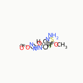 COC[C@]12C[C@H]1[C@@](C)(c1cc(NC(=O)c3cnc(OC[C@H]4CCO4)cn3)ccc1F)N=C(N)S2